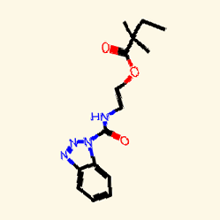 CCC(C)(C)C(=O)OCCNC(=O)n1nnc2ccccc21